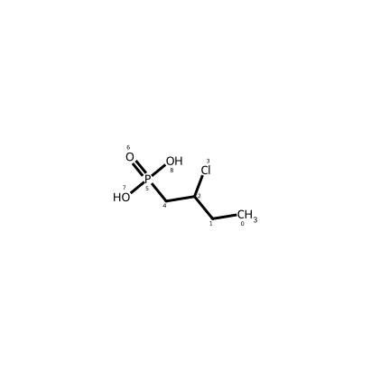 CCC(Cl)CP(=O)(O)O